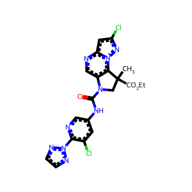 CCOC(=O)C1(C)CN(C(=O)Nc2cnc(-n3nccn3)c(Cl)c2)c2cnc3cc(Cl)nn3c21